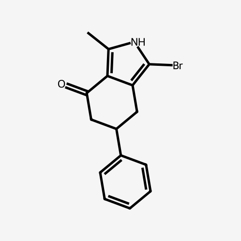 Cc1[nH]c(Br)c2c1C(=O)CC(c1ccccc1)C2